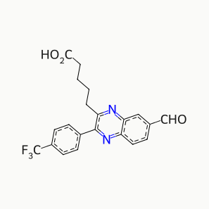 O=Cc1ccc2nc(-c3ccc(C(F)(F)F)cc3)c(CCCCC(=O)O)nc2c1